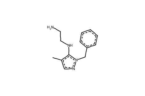 Cc1cnn(Cc2ccccc2)c1NCCN